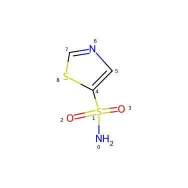 NS(=O)(=O)c1cncs1